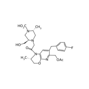 CC(=O)OCc1nc2c(cc1Cc1ccc(F)cc1)N(C(=O)CN1C[C@@H](C)N(C(=O)O)C[C@@H]1CO)[C@@H](C)CO2